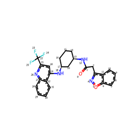 O=C(Cc1noc2ccccc12)N[C@@H]1CCC[C@H](Nc2cc(C(F)(F)F)nc3ccccc23)C1